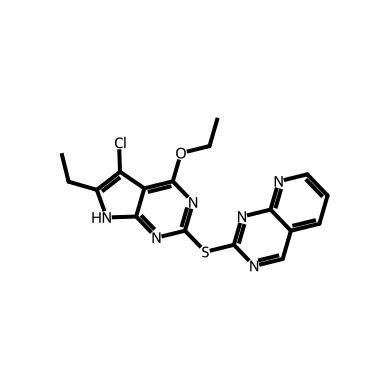 CCOc1nc(Sc2ncc3cccnc3n2)nc2[nH]c(CC)c(Cl)c12